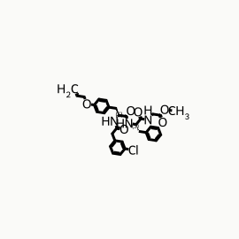 C=CCOc1ccc(C[C@H](NC(=O)Cc2cccc(Cl)c2)C(=O)N[C@@H](Cc2ccccc2)C(=O)NCC(=O)OC)cc1